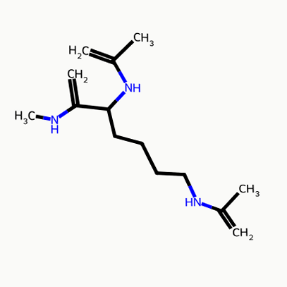 C=C(C)NCCCCC(NC(=C)C)C(=C)NC